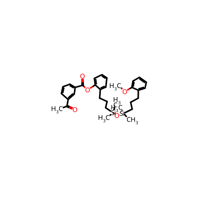 COc1ccccc1CCC[Si](C)(C)O[Si](C)(C)CCCc1ccccc1OC(=O)c1cccc(C(C)=O)c1